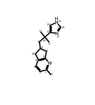 Cc1ccc2c(n1)CC(CC(C)(C)c1c[nH]cn1)C2